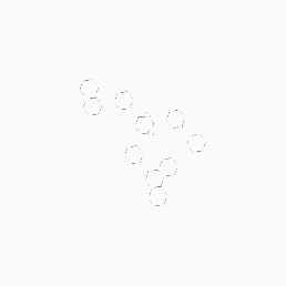 c1ccc(-c2cccc(-c3nc(-c4cccc(-c5cccc6ccccc56)c4)cc(-c4cccc(-c5cc6ccccc6c6ccccc56)c4)n3)c2)cc1